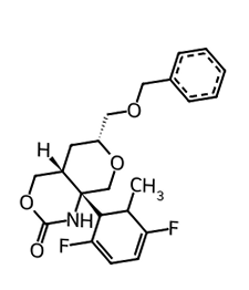 CC1C(F)=CC=C(F)C1[C@]12CO[C@@H](COCc3ccccc3)C[C@H]1COC(=O)N2